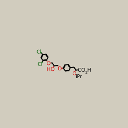 CC(C)OC(Cc1ccc(OCC(O)COc2ccc(Cl)cc2Cl)cc1)C(=O)O